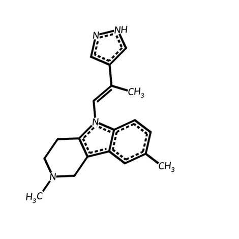 C/C(=C\n1c2c(c3cc(C)ccc31)CN(C)CC2)c1cn[nH]c1